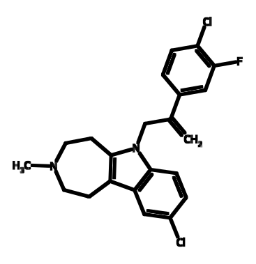 C=C(Cn1c2c(c3cc(Cl)ccc31)CCN(C)CC2)c1ccc(Cl)c(F)c1